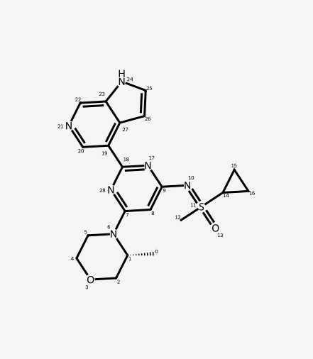 C[C@@H]1COCCN1c1cc(N=S(C)(=O)C2CC2)nc(-c2cncc3[nH]ccc23)n1